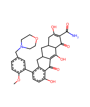 COc1ccc(CN2CCOCC2)cc1-c1ccc(O)c2c1CC1CC3CC(O)=C(C(N)=O)C(=O)C3C(O)=C1C2=O